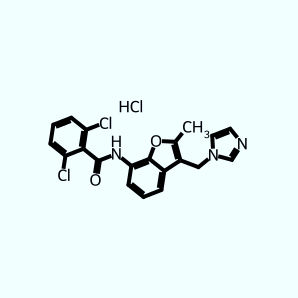 Cc1oc2c(NC(=O)c3c(Cl)cccc3Cl)cccc2c1Cn1ccnc1.Cl